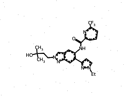 CCn1ccc(-c2cc3nn(CCC(C)(C)O)cc3cc2NC(=O)c2cccc(C(F)(F)F)n2)n1